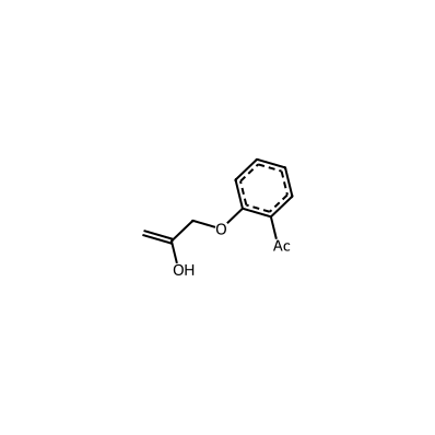 C=C(O)COc1ccccc1C(C)=O